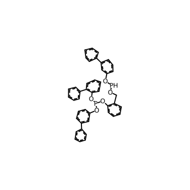 c1ccc(-c2cccc(OPOCc3ccccc3OP(Oc3cccc(-c4ccccc4)c3)Oc3ccccc3-c3ccccc3)c2)cc1